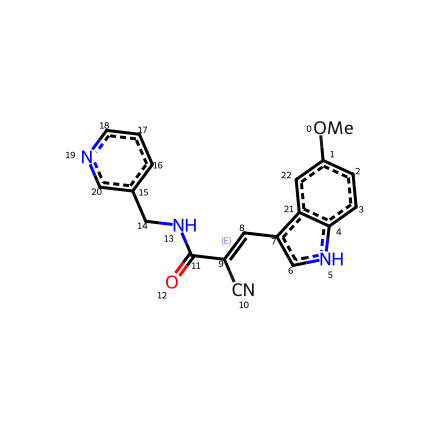 COc1ccc2[nH]cc(/C=C(\C#N)C(=O)NCc3cccnc3)c2c1